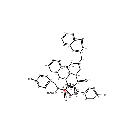 CC(=O)NC(Cc1ccc(O)cc1)C(=O)NC(Cc1ccc(F)cc1)C(=O)N1CC(Cc2ccc3ccccc3c2)NC(=O)C1C(Cc1ccccc1)c1c[nH]cn1